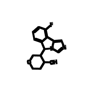 OC1CCOCC1C1c2cccc(F)c2-c2cncn21